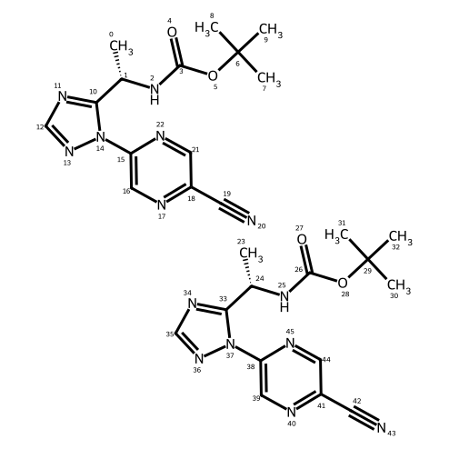 C[C@H](NC(=O)OC(C)(C)C)c1ncnn1-c1cnc(C#N)cn1.C[C@H](NC(=O)OC(C)(C)C)c1ncnn1-c1cnc(C#N)cn1